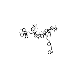 CO[Si](CC[Si](C)(O[Si](C)(C)C)O[Si](C)(C)O[Si](C)(CCCOCC1CO1)O[SiH](C)O[Si](C)(C)C)(OC)OC